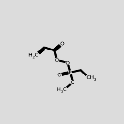 C=CC(=O)OOP(=O)(CC)OC